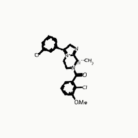 COc1cccc(C(=O)N2CC[N+]3=C(c4cccc(Cl)c4)CN=C3[C@@H]2C)c1Cl